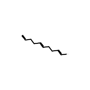 [CH2]C=CCCC=CCCC=C